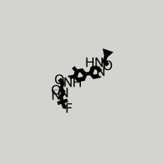 Cc1cc(-c2ccnc(NC(=O)C3CC3)c2)ccc1CNC(=O)c1nc(C(C)(C)CF)no1